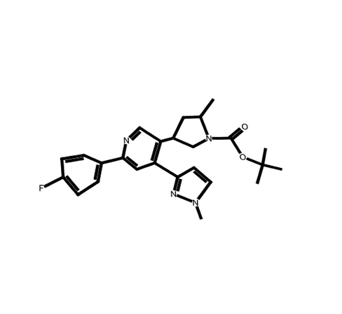 CC1CC(c2cnc(-c3ccc(F)cc3)cc2-c2ccn(C)n2)CN1C(=O)OC(C)(C)C